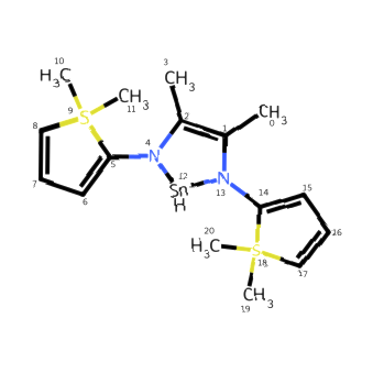 CC1=C(C)[N](C2=CC=CS2(C)C)[SnH-][N]1C1=CC=CS1(C)C